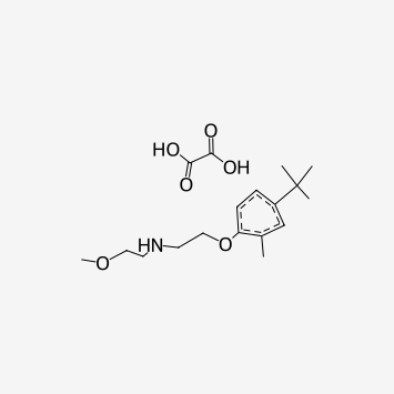 COCCNCCOc1ccc(C(C)(C)C)cc1C.O=C(O)C(=O)O